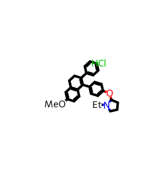 CCN1CCCC1Oc1ccc(C2=C(c3ccccc3)CCc3cc(OC)ccc32)cc1.Cl